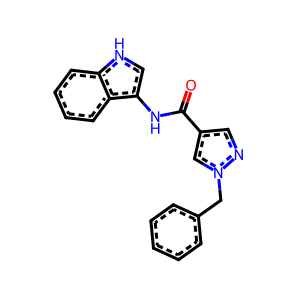 O=C(Nc1c[nH]c2ccccc12)c1cnn(Cc2ccccc2)c1